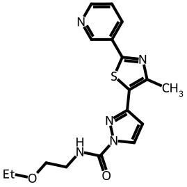 CCOCCNC(=O)n1ccc(-c2sc(-c3cccnc3)nc2C)n1